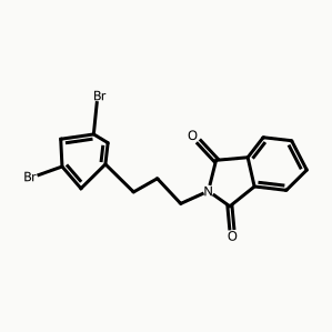 O=C1c2ccccc2C(=O)N1CCCc1cc(Br)cc(Br)c1